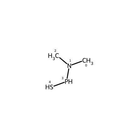 CN(C)PS